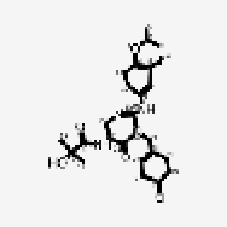 CC(C)OC1=C(F)C=C(NC2=NCC(NC(=O)C(C)(C)O)C(=O)N2CC2=CCC(Cl)CC2)CC1